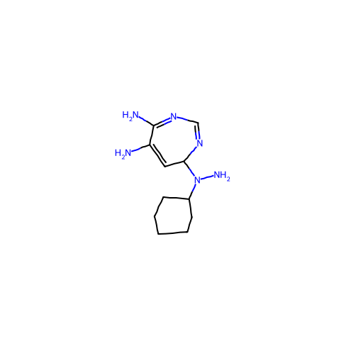 NC1=CC(N(N)C2CCCCC2)N=CN=C1N